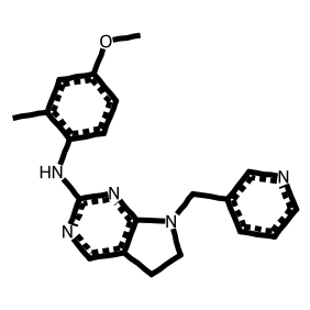 COc1ccc(Nc2ncc3c(n2)N(Cc2cccnc2)CC3)c(C)c1